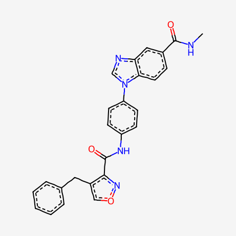 CNC(=O)c1ccc2c(c1)ncn2-c1ccc(NC(=O)c2nocc2Cc2ccccc2)cc1